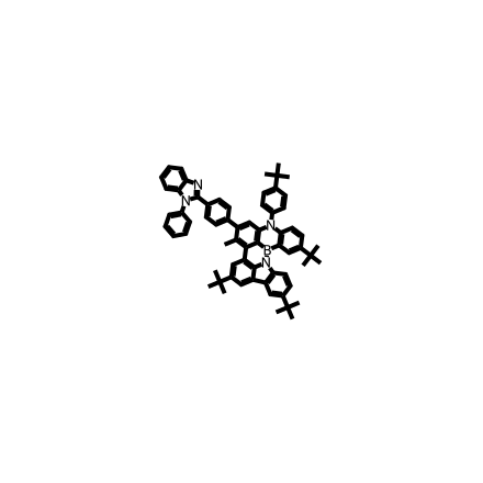 Cc1c(-c2ccc(-c3nc4ccccc4n3-c3ccccc3)cc2)cc2c3c1-c1cc(C(C)(C)C)cc4c5cc(C(C)(C)C)ccc5n(c14)B3c1cc(C(C)(C)C)ccc1N2c1ccc(C(C)(C)C)cc1